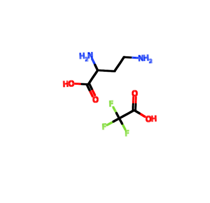 NCCC(N)C(=O)O.O=C(O)C(F)(F)F